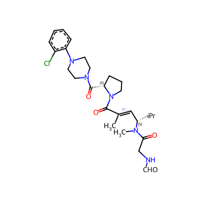 C/C(=C\[C@H](C(C)C)N(C)C(=O)CNC=O)C(=O)N1CCC[C@H]1C(=O)N1CCN(c2ccccc2Cl)CC1